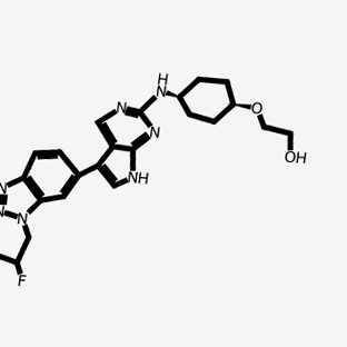 OCCO[C@H]1CC[C@@H](Nc2ncc3c(-c4ccc5nnn(CC(F)F)c5c4)c[nH]c3n2)CC1